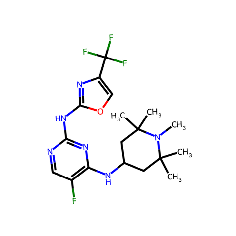 CN1C(C)(C)CC(Nc2nc(Nc3nc(C(F)(F)F)co3)ncc2F)CC1(C)C